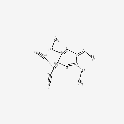 COc1c/c(=C/N)c(OC)cc1=C(C#N)C#N